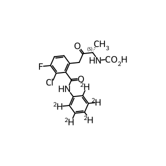 [2H]c1c([2H])c([2H])c(NC(=O)c2c(CC(=O)[C@H](C)NC(=O)O)ccc(F)c2Cl)c([2H])c1[2H]